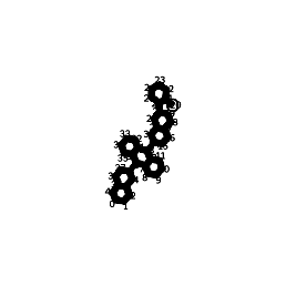 c1ccc2cc(-c3c4ccccc4c(-c4ccc5cc6oc7ccccc7c6cc5c4)c4ccccc34)ccc2c1